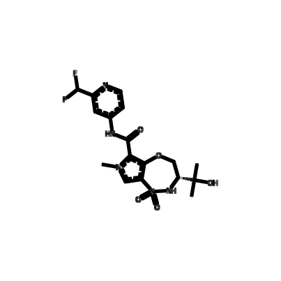 Cn1cc2c(c1C(=O)Nc1ccnc(C(F)F)c1)OC[C@H](C(C)(C)O)NS2(=O)=O